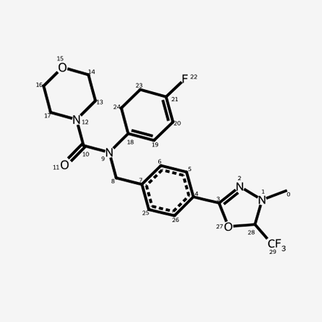 CN1N=C(c2ccc(CN(C(=O)N3CCOCC3)C3=CC=C(F)CC3)cc2)OC1C(F)(F)F